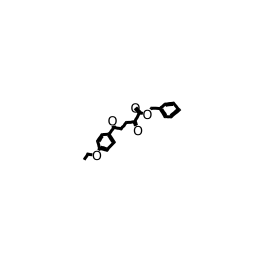 CCOc1ccc(C(=O)CCC(=O)C(=O)OCc2ccccc2)cc1